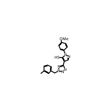 COc1ccc(-n2ncc(-c3nnn(Cc4cccc(C)c4)n3)c2S)cc1